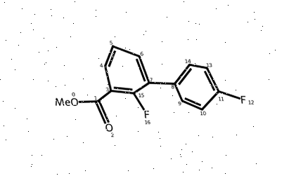 COC(=O)c1cccc(-c2ccc(F)cc2)c1F